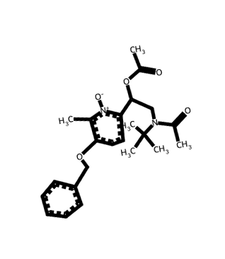 CC(=O)OC(CN(C(C)=O)C(C)(C)C)c1ccc(OCc2ccccc2)c(C)[n+]1[O-]